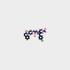 CC(=O)N1CCc2c(c(-c3ccc(Br)cc3)nn2CC(O)CN2CCC(N3C(=O)CCc4ccccc43)CC2)C1